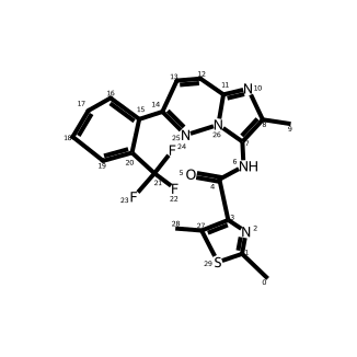 Cc1nc(C(=O)Nc2c(C)nc3ccc(-c4ccccc4C(F)(F)F)nn23)c(C)s1